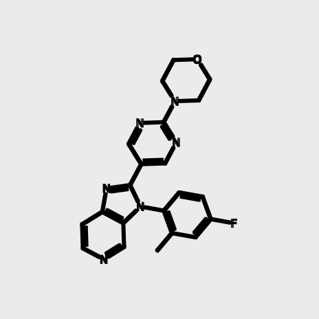 Cc1cc(F)ccc1-n1c(-c2cnc(N3CCOCC3)nc2)nc2ccncc21